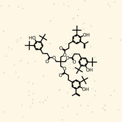 C=C(C)c1cc(CCC(=O)OCC(COC(=O)CCc2cc(C(=C)C)c(O)c(C(C)(C)C)c2)(COC(=O)CCc2cc(C(C)(C)C)c(O)c(C(C)(C)C)c2)COC(=O)CCc2cc(C(C)(C)C)c(O)c(C(C)(C)C)c2)cc(C(C)(C)C)c1O